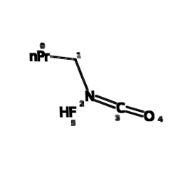 CCCCN=C=O.F